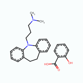 CN(C)CCCN1c2ccccc2CCc2ccccc21.O=C(O)c1ccccc1O